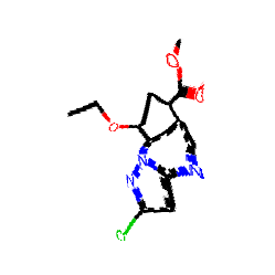 CCOC1CC(C(=O)OC)c2cnc3cc(Cl)nn3c21